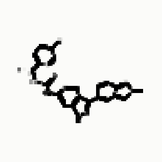 C[C@@H](NC(=O)Nc1cc2[nH]nc(-c3ccc4nn(C)cc4c3)c2cn1)c1ccc(Cl)cc1